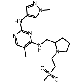 Cc1cnc(Nc2cnn(C)c2)nc1NCC1CCCN1CCS(C)(=O)=O